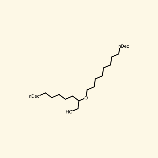 CCCCCCCCCCCCCCCCCCOC(CO)CCCCCCCCCCCCCCC